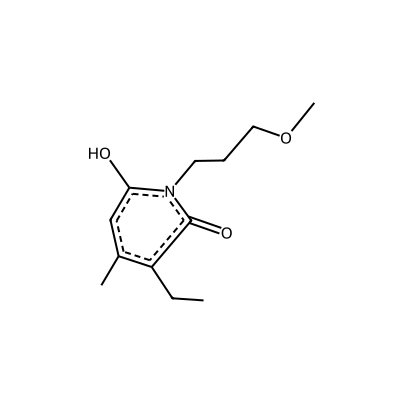 CCc1c(C)cc(O)n(CCCOC)c1=O